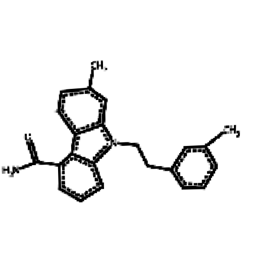 Cc1cccc(CCn2c3cc(C)c[c]c3c3c(C(N)=O)cccc32)c1